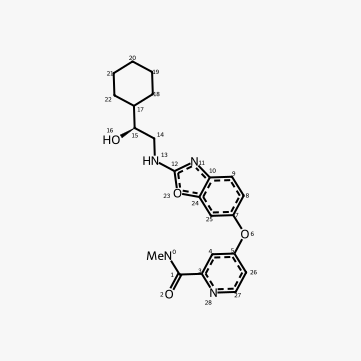 CNC(=O)c1cc(Oc2ccc3nc(NC[C@@H](O)C4CCCCC4)oc3c2)ccn1